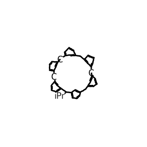 CC(C)C1c2cccc(c2)Cc2cccc(c2)Cc2cccc(c2)Cc2cccc(c2)Cc2cccc(c2)Cc2cccc1c2